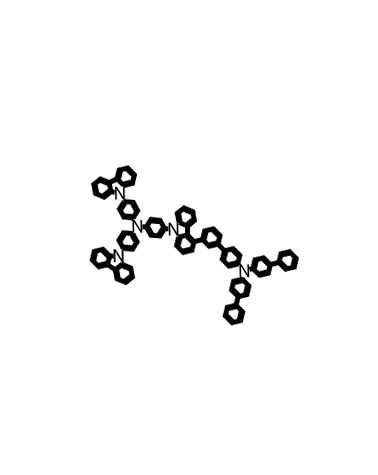 c1ccc(-c2ccc(N(c3ccc(-c4ccccc4)cc3)c3ccc(-c4cccc(-c5cccc6c5c5ccccc5n6-c5ccc(N(c6ccc(-n7c8ccccc8c8ccccc87)cc6)c6ccc(-n7c8ccccc8c8ccccc87)cc6)cc5)c4)cc3)cc2)cc1